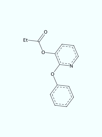 CCC(=O)Oc1cccnc1Oc1ccccc1